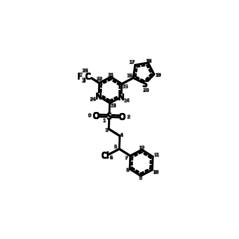 O=S(=O)(CCC(Cl)c1ccccc1)c1nc(-c2cccs2)cc(C(F)(F)F)n1